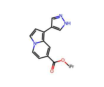 CC(C)OC(=O)c1ccn2ccc(-c3cn[nH]c3)c2c1